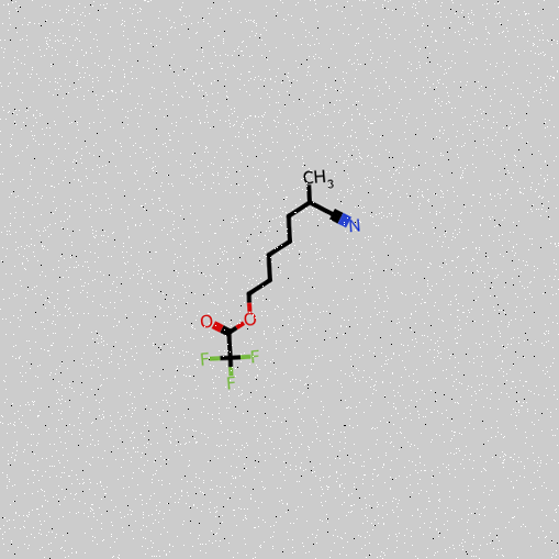 CC(C#N)CCCCCOC(=O)C(F)(F)F